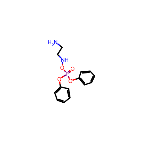 NCCNOP(=O)(Oc1ccccc1)Oc1ccccc1